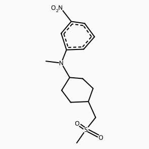 CN(c1cccc([N+](=O)[O-])c1)C1CCC(CS(C)(=O)=O)CC1